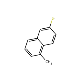 Cc1cccc2cc([S])ccc12